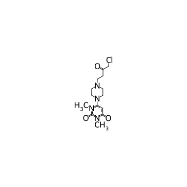 Cn1c(N2CCN(CCC(=O)CCl)CC2)cc(=O)n(C)c1=O